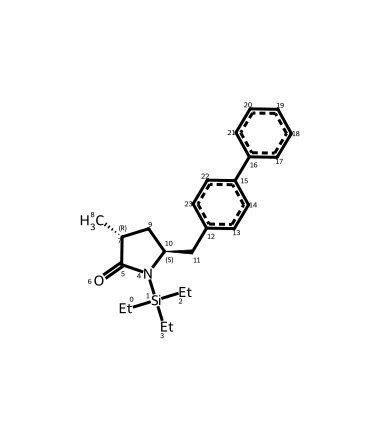 CC[Si](CC)(CC)N1C(=O)[C@H](C)C[C@H]1Cc1ccc(-c2ccccc2)cc1